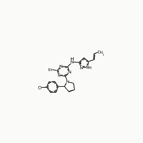 C/C=C/c1cc(Nc2nc(CC)nc(N3CCCC3c3ccc(Cl)cc3)n2)n[nH]1